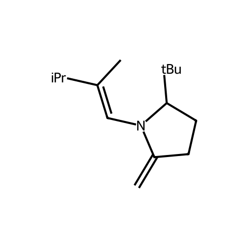 C=C1CCC(C(C)(C)C)N1/C=C(\C)C(C)C